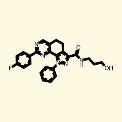 O=C(NCCCO)c1nn(-c2ccccc2)c2c1CCc1cnc(-c3ccc(F)cc3)nc1-2